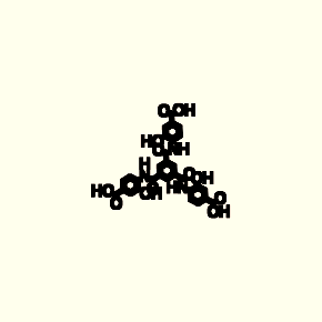 O=C(O)c1ccc(NC(=O)c2cc(C(=O)Nc3ccc(C(=O)O)cc3O)cc(C(=O)Nc3ccc(C(=O)O)cc3O)c2)c(O)c1